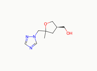 CC1(Cn2cncn2)C[C@H](CO)CO1